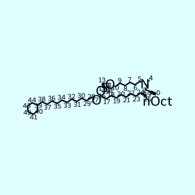 C#CCN(C)CCCCCCO[Si](C)(C)OC(CCCCCCC/C=C\CCCCCCCC)OCCCCCCCCCCCC1CCCCC1